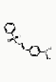 CCN(CC)c1ccc(/C=N/OS(=O)(=O)c2ccccc2)cc1